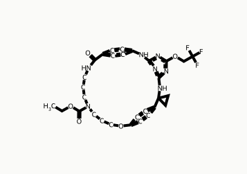 CCOC(=O)N1CCCNC(=O)c2ccc(cc2)Nc2nc(nc(OCC(F)(F)F)n2)NC2(CC2)c2ccc(cc2)OCCC1